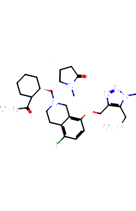 CNC(=O)[C@@]1(C)CCCC[C@H]1C(=O)N1CCc2c(Cl)ccc(OCc3nnn(C)c3COC)c2[C@H]1CN1C[C@H](C)CC1=O